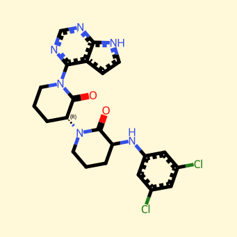 O=C1[C@H](N2CCCC(Nc3cc(Cl)cc(Cl)c3)C2=O)CCCN1c1ncnc2[nH]ccc12